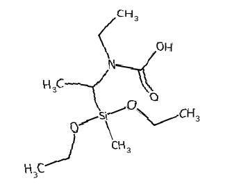 CCO[Si](C)(OCC)C(C)N(CC)C(=O)O